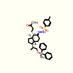 COC(=O)CC[C@@H]1C(=NNS(=O)(=O)c2ccc(C)cc2)CC[C@]2(C)[C@@H](C(C)CO[Si](c3ccccc3)(c3ccccc3)C(C)(C)C)CC[C@@H]12